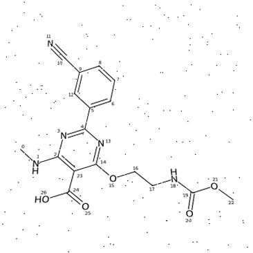 CNc1nc(-c2cccc(C#N)c2)nc(OCCNC(=O)OC)c1C(=O)O